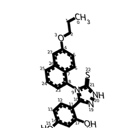 CCCOc1ccc2c(-n3c(-c4ccc(O)cc4O)n[nH]c3=S)cccc2c1